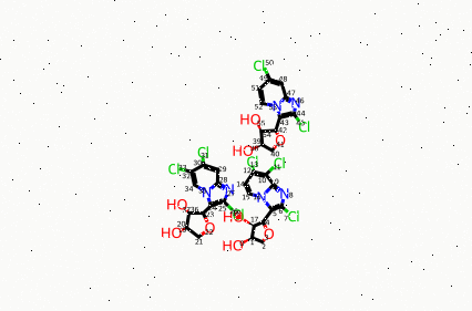 O[C@@H]1COC(c2c(Cl)nc3c(Cl)c(Cl)ccn23)[C@@H]1O.O[C@@H]1COC(c2c(Cl)nc3cc(Cl)c(Cl)cn23)[C@@H]1O.O[C@@H]1COC(c2c(Cl)nc3cc(Cl)ccn23)[C@@H]1O